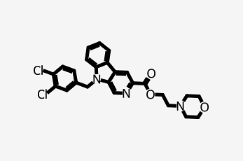 O=C(OCCN1CCOCC1)c1cc2c3ccccc3n(Cc3ccc(Cl)c(Cl)c3)c2cn1